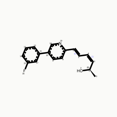 C[C@@H](O)/C=C\C=C\c1ccc(-c2cccc(F)c2)cn1